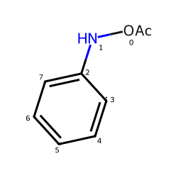 CC(=O)ONc1[c]cccc1